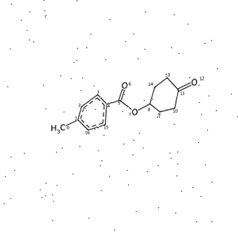 Cc1ccc(C(=O)OC2CCC(=O)CC2)cc1